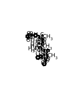 CC[C@H](C)[C@@H]([C@@H](CC(=O)N1CCC[C@H]1[C@H](OC)[C@@H](C)C(=O)N[C@@H](Cc1c[nH]c2ccccc12)C(=O)N1CCCCO1)OC)N(C)[C@H](C(=O)NC(=O)[C@H](C(C)C)N(C)Cc1ccc(C(=O)ON2C(=O)CCC2=O)cc1)C(C)C